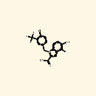 O=C(O)c1cc2c(F)c(O)ccc2n1Cc1ccc(Cl)c(C(F)(F)F)c1